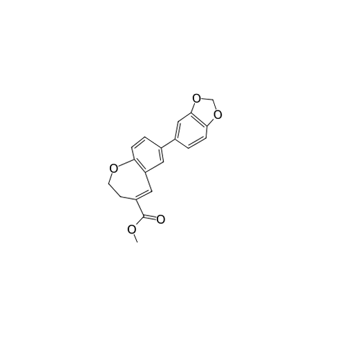 COC(=O)C1=Cc2cc(-c3ccc4c(c3)OCO4)ccc2OCC1